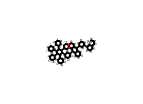 c1ccc(-c2c(-c3ccccc3)c(-c3ccccc3)c(-c3cccc(-c4c5ccccc5c(-c5cccc(-c6cccc7cccnc67)c5)c5ccccc45)c3)c(-c3ccccc3)c2-c2ccccc2)cc1